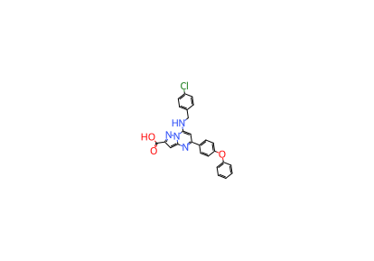 O=C(O)c1cc2nc(-c3ccc(Oc4ccccc4)cc3)cc(NCc3ccc(Cl)cc3)n2n1